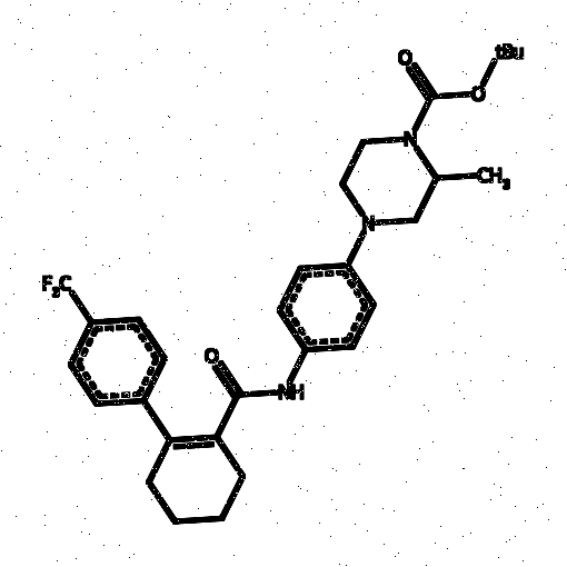 CC1CN(c2ccc(NC(=O)C3=C(c4ccc(C(F)(F)F)cc4)CCCC3)cc2)CCN1C(=O)OC(C)(C)C